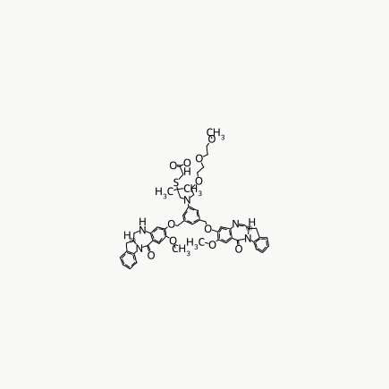 COCCOCCOCCN(CC(C)(C)SCC(=O)O)c1cc(COc2cc3c(cc2OC)C(=O)N2c4ccccc4C[C@H]2C=N3)cc(COc2cc3c(cc2OC)C(=O)N2c4ccccc4C[C@H]2CN3)c1